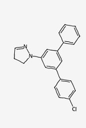 Clc1ccc(-c2cc(-c3ccccc3)cc(N3CCC=N3)c2)cc1